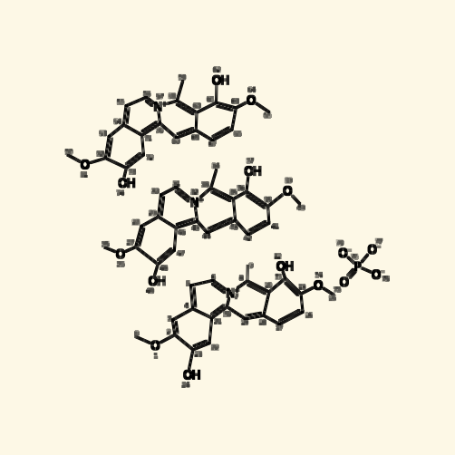 COc1cc2cc[n+]3c(C)c4c(O)c(OC)ccc4cc3c2cc1O.COc1cc2cc[n+]3c(C)c4c(O)c(OC)ccc4cc3c2cc1O.COc1cc2cc[n+]3c(C)c4c(O)c(OC)ccc4cc3c2cc1O.O=P([O-])([O-])[O-]